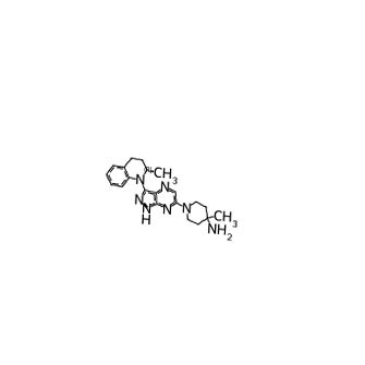 C[C@@H]1CCc2ccccc2N1c1n[nH]c2nc(N3CCC(C)(N)CC3)cnc12